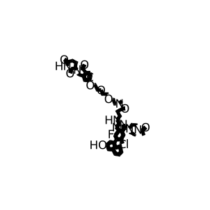 CC(=O)N1CCN(c2nc(NCCC(=O)N(C)CCOCCOCCOc3ccc4c(c3)CN(C3CCC(=O)NC3=O)C4=O)nc3c(F)c(-c4cc(O)cc5ccccc45)c(Cl)cc23)CC1